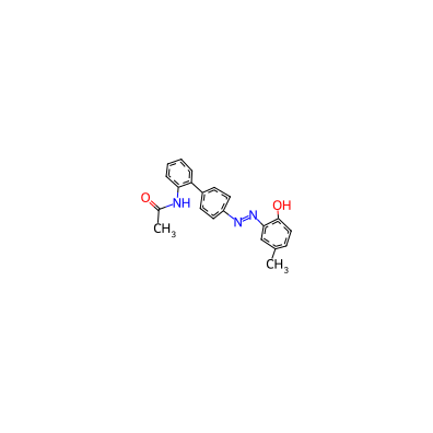 CC(=O)Nc1ccccc1-c1ccc(/N=N/c2cc(C)ccc2O)cc1